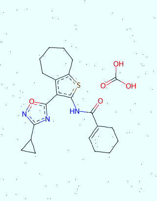 O=C(Nc1sc2c(c1-c1nc(C3CC3)no1)CCCCC2)C1=CCCCC1.O=C(O)O